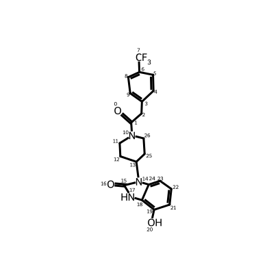 O=C(Cc1ccc(C(F)(F)F)cc1)N1CCC(n2c(=O)[nH]c3c(O)cccc32)CC1